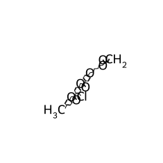 C=CC(=O)OCCCCOc1ccc(C(=O)Oc2ccc(C(=O)Oc3ccc(CC)cc3)c(Cl)c2)cc1